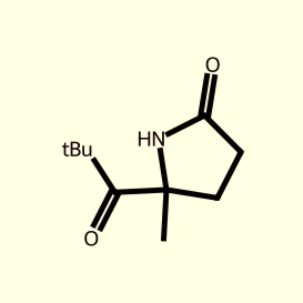 CC(C)(C)C(=O)C1(C)CCC(=O)N1